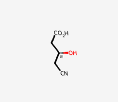 N#CC[C@H](O)CC(=O)O